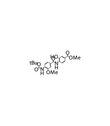 COC(=O)c1ccc(NC(=O)c2ccc(NC(=O)OC(C)(C)C)c(OC)c2)c(O)c1